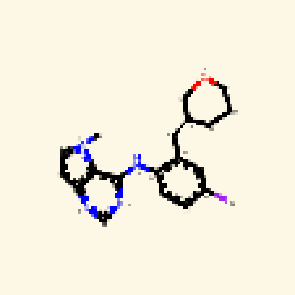 Cn1ccc2ncnc(Nc3ccc(I)cc3C[C@@H]3CCCOC3)c21